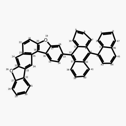 c1ccc2c(-c3c4ccccc4c(-c4ccc5c(c4)oc4ccc6cc7oc8ccccc8c7cc6c45)c4ccccc34)cccc2c1